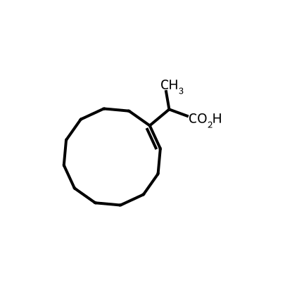 CC(C(=O)O)C1=CCCCCCCCCCC1